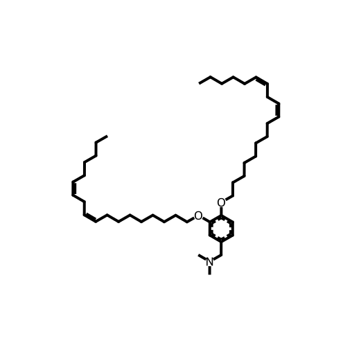 CCCCC/C=C\C/C=C\CCCCCCCCOc1ccc(CN(C)C)cc1OCCCCCCCC/C=C\C/C=C\CCCCC